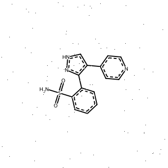 NS(=O)(=O)c1ccccc1-c1n[nH]cc1-c1ccncc1